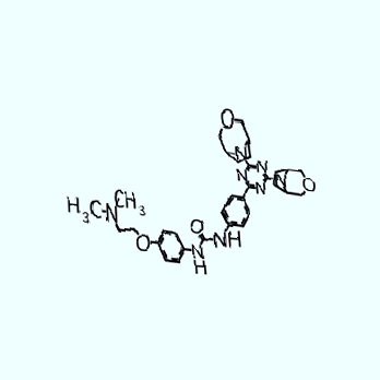 CN(C)CCOc1ccc(NC(=O)Nc2ccc(-c3nc(N4C5CCC4COC5)nc(N4C5CCC4COC5)n3)cc2)cc1